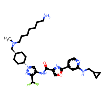 CN(CCCCCCCN)C[C@H]1CC[C@H](n2cc(NC(=O)c3coc(-c4ccnc(NCC5CC5)c4)n3)c(C(F)F)n2)CC1